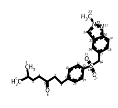 CC(C)CCC(=O)CCc1ccc(S(=O)(=O)Cc2ccc3nn(C)cc3c2)cc1